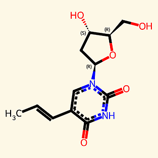 CC=Cc1cn([C@H]2C[C@H](O)[C@@H](CO)O2)c(=O)[nH]c1=O